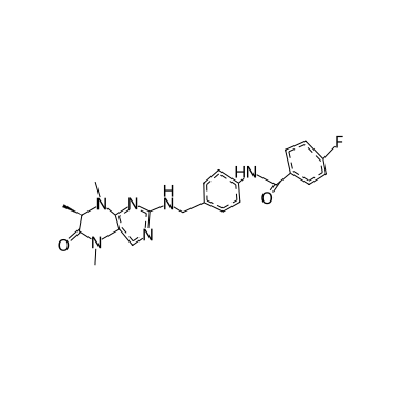 C[C@@H]1C(=O)N(C)c2cnc(NCc3ccc(NC(=O)c4ccc(F)cc4)cc3)nc2N1C